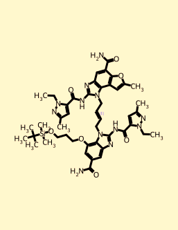 CCn1nc(C)cc1C(=O)Nc1nc2cc(C(N)=O)cc(OCCCO[Si](C)(C)C(C)(C)C)c2n1C/C=C/Cn1c(NC(=O)c2cc(C)nn2CC)nc2cc(C(N)=O)c3oc(C)cc3c21